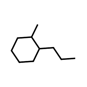 CCCC1CCCCC1C